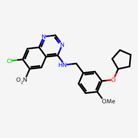 COc1ccc(CNc2ncnc3cc(Cl)c([N+](=O)[O-])cc23)cc1OC1CCCC1